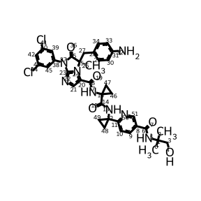 CC(C)(CO)NC(=O)c1ccc(C2(NC(=O)C3(NC(=O)c4cnc5n4[C@](C)(Cc4ccc(N)cc4)C(=O)N5c4cc(Cl)cc(Cl)c4)CC3)CC2)nc1